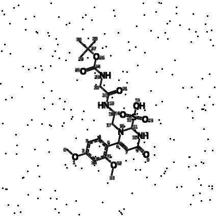 COc1ccc(C2=CC(=O)NC(S(=O)(=O)O)N2CCNC(=O)CNC(=O)OC(C)(C)C)c(OC)c1